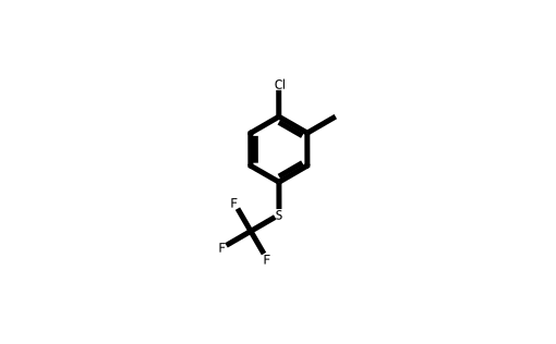 Cc1cc(SC(F)(F)F)ccc1Cl